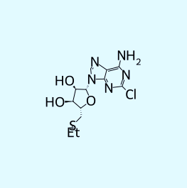 CCSC[C@H]1O[C@@H](n2cnc3c(N)nc(Cl)nc32)[C@H](O)[C@@H]1O